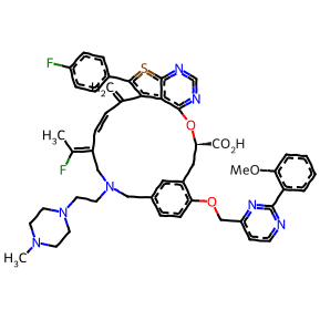 C=C1/C=C\C(=C(/C)F)CN(CCN2CCN(C)CC2)Cc2ccc(OCc3ccnc(-c4ccccc4OC)n3)c(c2)C[C@H](C(=O)O)Oc2ncnc3sc(-c4ccc(F)cc4)c1c23